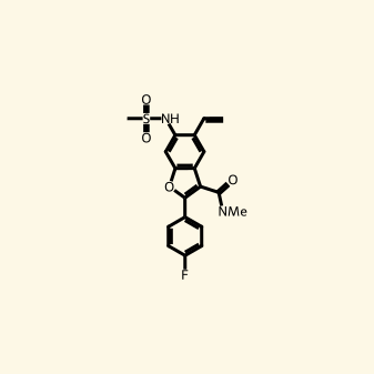 C=Cc1cc2c(C(=O)NC)c(-c3ccc(F)cc3)oc2cc1NS(C)(=O)=O